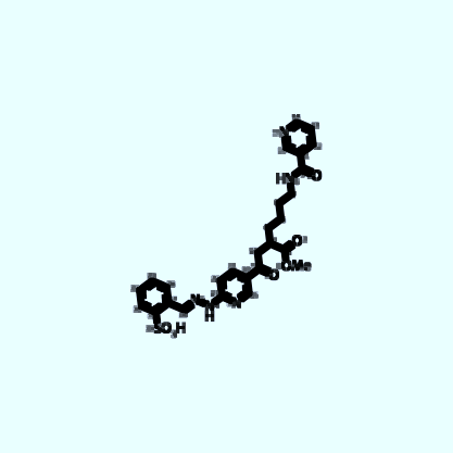 COC(=O)C(CCCCNC(=O)c1cccnc1)CC(=O)c1ccc(NN=Cc2ccccc2S(=O)(=O)O)nc1